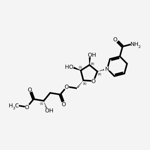 COC(=O)[C@@H](O)CC(=O)OC[C@H]1O[C@@H](N2C=CCC(C(N)=O)=C2)[C@H](O)[C@@H]1O